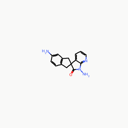 Nc1ccc2c(c1)CC1(C2)C(=O)N(N)c2ncccc21